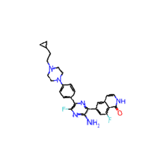 Nc1nc(F)c(-c2ccc(N3CCN(CCC4CC4)CC3)cc2)nc1-c1cc(F)c2c(=O)[nH]ccc2c1